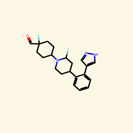 O=CC1(F)CCC(N2CCC(c3ccccc3-c3cn[nH]c3)CC2F)CC1